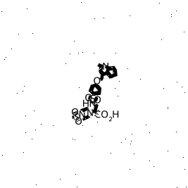 Cc1cc(COc2ccc(S(=O)(=O)NC[C@H](C(=O)O)N3CCN(S(C)(=O)=O)CC3)cc2)c2ccccc2n1